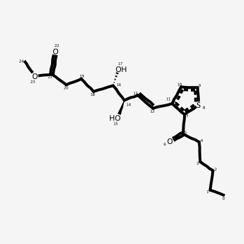 CCCCCC(=O)c1sccc1/C=C/[C@@H](O)[C@@H](O)CCCC(=O)OC